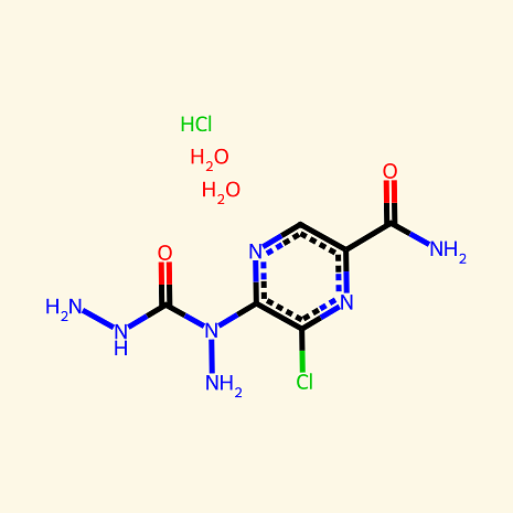 Cl.NNC(=O)N(N)c1ncc(C(N)=O)nc1Cl.O.O